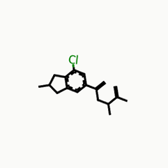 C=C(CC(C)C(=C)C)c1cc(Cl)c2c(c1)CC(C)C2